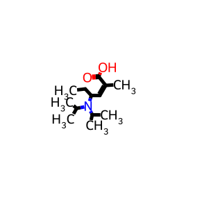 CCC(C=C(C)C(=O)O)N(C(C)C)C(C)C